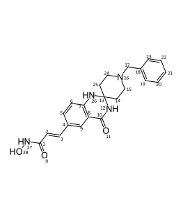 O=C(C=Cc1ccc2c(c1)C(=O)NC1(CCN(Cc3ccccc3)CC1)N2)NO